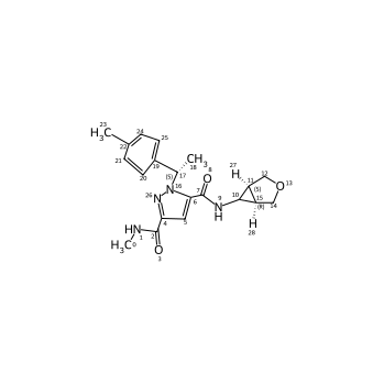 CNC(=O)c1cc(C(=O)NC2[C@H]3COC[C@@H]23)n([C@@H](C)c2ccc(C)cc2)n1